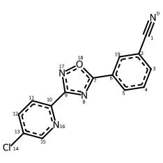 N#Cc1cccc(-c2nc(-c3ccc(Cl)cn3)no2)c1